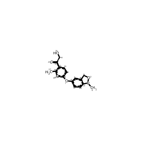 CB1OCc2cc(Oc3ccc(C(=O)CO)c(C)n3)ccc21